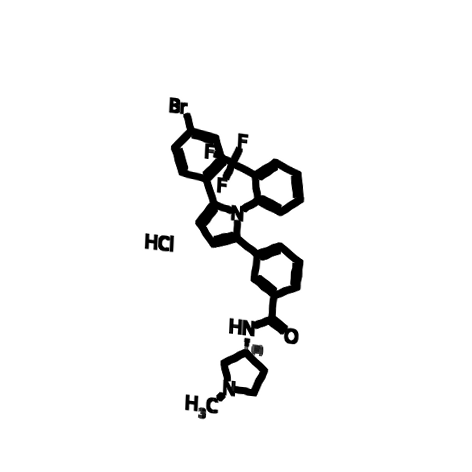 CN1CC[C@@H](NC(=O)c2cccc(-c3ccc(-c4ccc(Br)cc4)n3-c3ccccc3C(F)(F)F)c2)C1.Cl